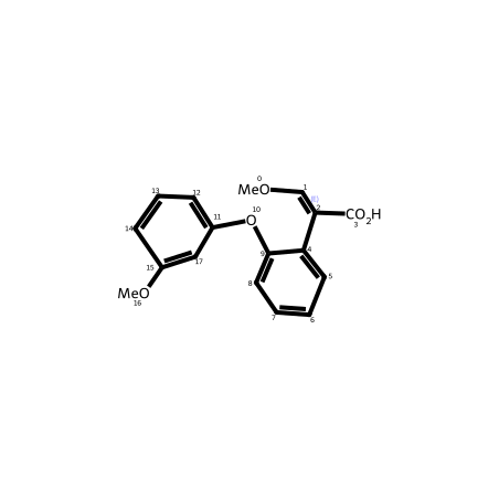 CO/C=C(/C(=O)O)c1ccccc1Oc1cccc(OC)c1